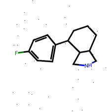 Fc1ccc(C2CCCC3CNCC32)cc1